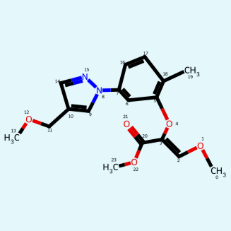 CO/C=C(\Oc1cc(-n2cc(COC)cn2)ccc1C)C(=O)OC